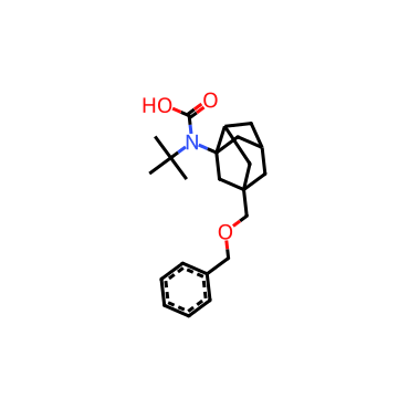 CC(C)(C)N(C(=O)O)C12CC3CC1CC(COCc1ccccc1)(C3)C2